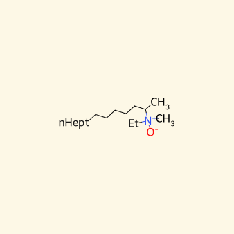 CCCCCCCCCCCCC(C)[N+](C)([O-])CC